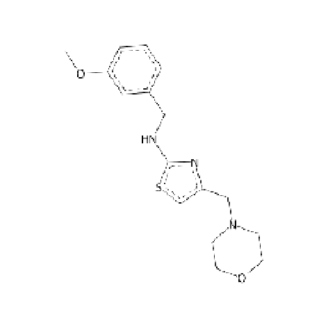 COc1cccc(CNc2nc(CN3CCOCC3)cs2)c1